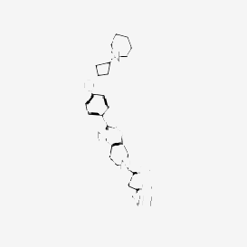 NC(=O)CC(=O)N1CCc2nc(-c3ccc(O[C@H]4C[C@H](N5CCCCC5)C4)cc3)sc2C1